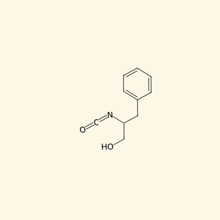 O=C=NC(CO)Cc1ccccc1